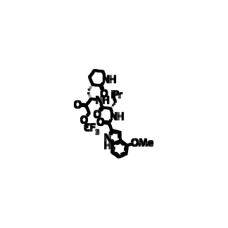 COc1cccc2[nH]c(C(=O)N[C@@H](CC(C)C)C(=O)N[C@@H](C[C@@H]3CCCNC3=O)C(=O)COC(F)(F)F)cc12